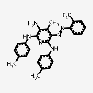 Cc1ccc(Nc2nc(Nc3ccc(C)cc3)c(/N=N/c3ccccc3C(F)(F)F)c(C)c2N)cc1